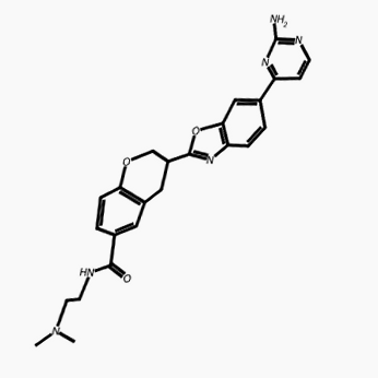 CN(C)CCNC(=O)c1ccc2c(c1)CC(c1nc3ccc(-c4ccnc(N)n4)cc3o1)CO2